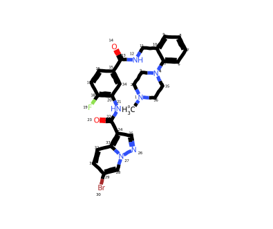 CN1CCN(c2ccccc2CNC(=O)c2ccc(F)c(NC(=O)c3cnn4cc(Br)ccc34)c2)CC1